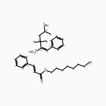 CC(C)CCCCCCCOC(=O)C=Cc1ccccc1.CCCCC(C)CC(C)(C)C(=Cc1ccccc1)C(=O)O